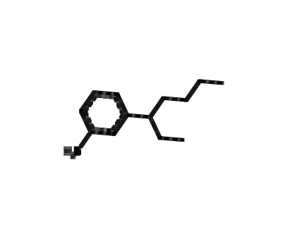 Bc1cccc(C(CC)CCCC)c1